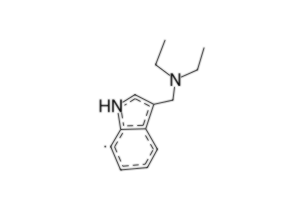 CCN(CC)Cc1c[nH]c2[c]cccc12